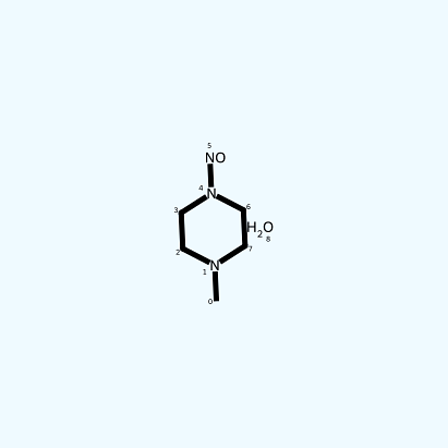 CN1CCN(N=O)CC1.O